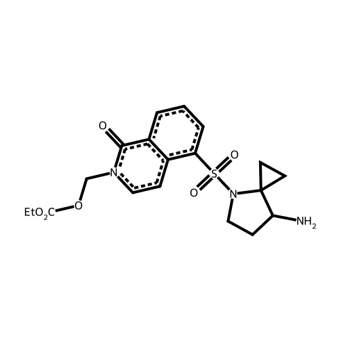 CCOC(=O)OCn1ccc2c(S(=O)(=O)N3CCC(N)C34CC4)cccc2c1=O